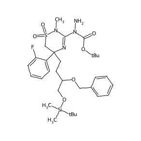 CN1C(N(N)C(=O)OC(C)(C)C)=NC(CCC(CO[Si](C)(C)C(C)(C)C)OCc2ccccc2)(c2ccccc2F)CS1(=O)=O